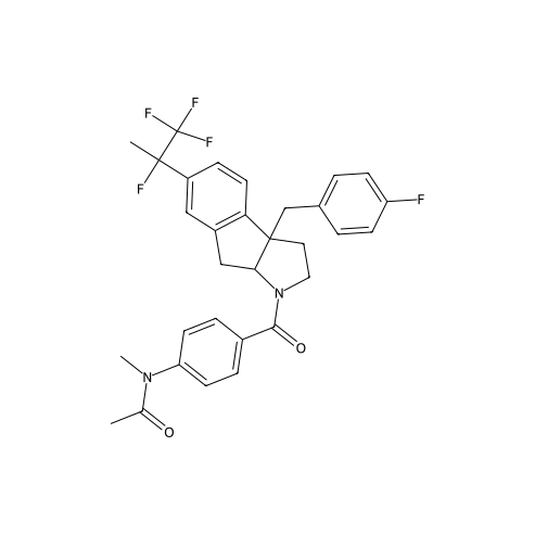 CC(=O)N(C)c1ccc(C(=O)N2CCC3(Cc4ccc(F)cc4)c4ccc(C(C)(F)C(F)(F)F)cc4CC23)cc1